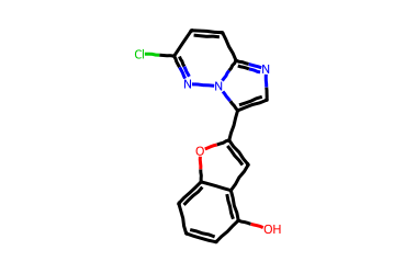 Oc1cccc2oc(-c3cnc4ccc(Cl)nn34)cc12